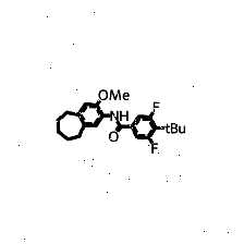 COc1cc2c(cc1NC(=O)c1cc(F)c(C(C)(C)C)c(F)c1)CCCCC2